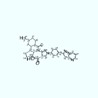 CC1CCC(C(=O)N(c2nn(-c3ccc(-c4cc5ncccn5n4)cc3)cc2C(=O)O)C2CCCC2)CC1